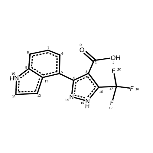 O=C(O)c1c(-c2cccc3[nH]ccc23)n[nH]c1C(F)(F)F